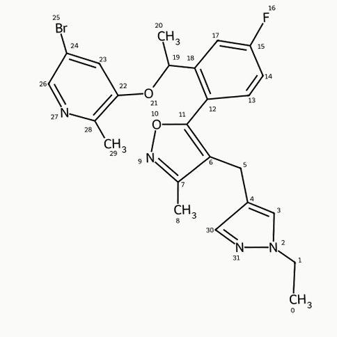 CCn1cc(Cc2c(C)noc2-c2ccc(F)cc2C(C)Oc2cc(Br)cnc2C)cn1